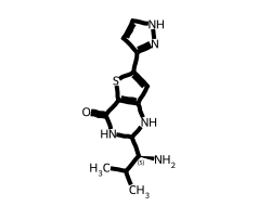 CC(C)[C@H](N)C1NC(=O)c2sc(-c3cc[nH]n3)cc2N1